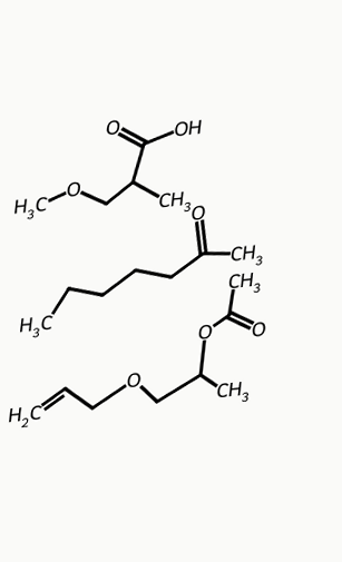 C=CCOCC(C)OC(C)=O.CCCCCC(C)=O.COCC(C)C(=O)O